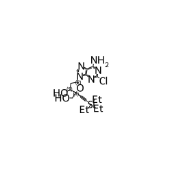 CC[Si](C#C[C@]1(CO)O[C@@H](n2cnc3c(N)nc(Cl)nc32)C[C@@H]1O)(CC)CC